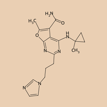 Cc1oc2nc(CCCn3ccnc3)nc(NC3(C)CC3)c2c1C(N)=O